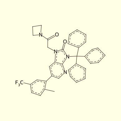 Cc1ccc(C(F)(F)F)cc1-c1cnc2c(c1)n(CC(=O)N1CCC1)c(=O)n2C(c1ccccc1)(c1ccccc1)c1ccccc1